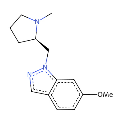 COc1ccc2cnn(C[C@H]3CCCN3C)c2c1